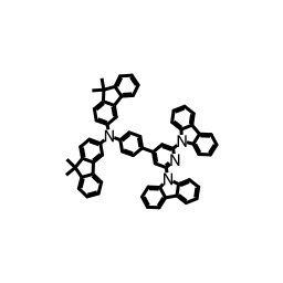 CC1(C)c2ccccc2-c2cc(N(c3ccc(-c4cc(-n5c6ccccc6c6ccccc65)nc(-n5c6ccccc6c6ccccc65)c4)cc3)c3ccc4c(c3)-c3ccccc3C4(C)C)ccc21